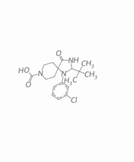 CC(C)(C)C1NC(=O)C2(CCN(C(=O)O)CC2)N1c1cccc(Cl)c1